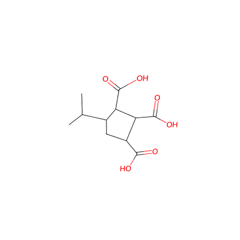 CC(C)C1CC(C(=O)O)C(C(=O)O)C1C(=O)O